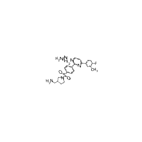 Cc1cc(-c2ccnc(-c3ccc(S(=O)(=O)N4CCC(CN)C4)cc3)n2)ccc1F.NN